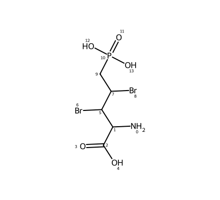 NC(C(=O)O)C(Br)C(Br)CP(=O)(O)O